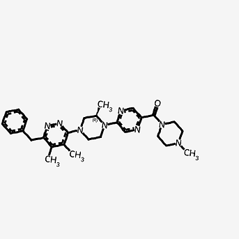 Cc1c(Cc2ccccc2)nnc(N2CCN(c3cnc(C(=O)N4CCN(C)CC4)cn3)[C@H](C)C2)c1C